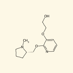 CN1CCC[C@H]1COc1ncccc1OCCO